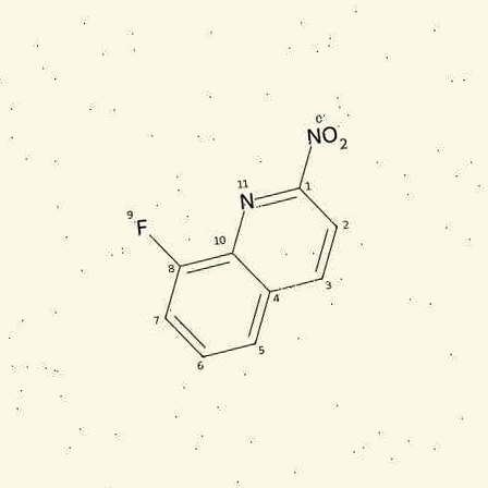 O=[N+]([O-])c1ccc2cccc(F)c2n1